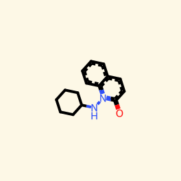 O=c1ccc2ccccc2n1NC1CCCCC1